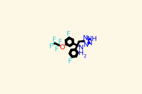 N[C@](Cc1nn[nH]n1)(c1ccc(F)cc1)c1cc(F)cc(OC(F)(F)C(F)F)c1